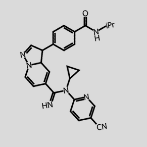 CC(C)NC(=O)c1ccc(C2C=NN3C=CC(C(=N)N(c4ccc(C#N)cn4)C4CC4)=CC23)cc1